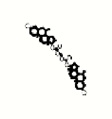 CC1CC2=CC(=O)CCC2(C)C2CCC3(C)C(OC(=O)OCOC(=O)OC4CCC5C6C(C)CC7=CC(=O)CCC7(C)C6CCC45C)CCC3C12